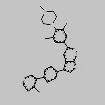 Cc1ccncc1-c1ccc(-c2c[nH]c3nnc(-c4cc(C)c(N5CCN(C)CC5)c(C)c4)cc23)cc1